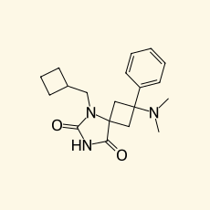 CN(C)C1(c2ccccc2)CC2(C1)C(=O)NC(=O)N2CC1CCC1